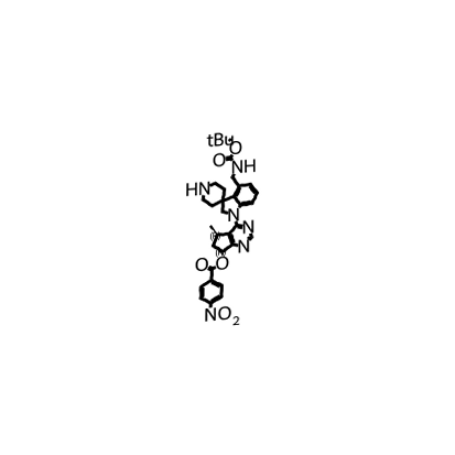 C[C@@H]1C[C@@H](OC(=O)c2ccc([N+](=O)[O-])cc2)c2ncnc(N3CC4(CCNCC4)c4c(CNC(=O)OC(C)(C)C)cccc43)c21